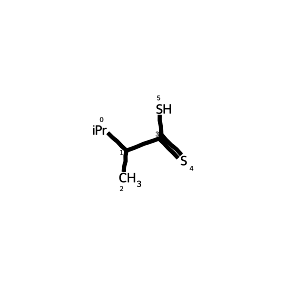 CC(C)C(C)C(=S)S